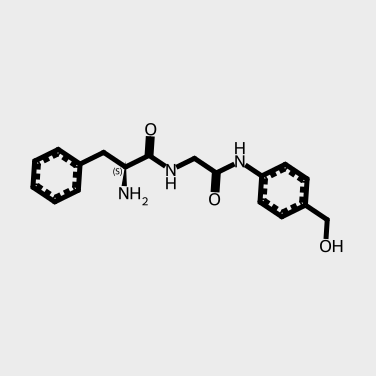 N[C@@H](Cc1ccccc1)C(=O)NCC(=O)Nc1ccc(CO)cc1